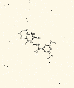 COc1cc(OC)cc(C(=O)NCc2c(C)c3c([nH]c2=O)CCCC3)c1